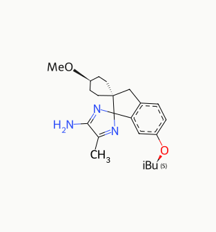 CC[C@H](C)Oc1ccc2c(c1)C1(N=C(C)C(N)=N1)[C@]1(CC[C@H](OC)CC1)C2